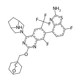 Nc1nc2c(-c3c(C(F)(F)F)cc4c(N5CC6CCC(C5)N6)nc(OCC56CCC(CC5)OC6)nc4c3F)ccc(F)c2s1